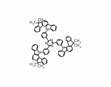 CC1(C)c2ccccc2-c2c1ccc1c3ccccc3n(-c3cccc(-c4nc(-c5cccc(-n6c7ccccc7c7ccc8c(c76)-c6ccccc6C8(C)C)c5)nc(-c5cccc(-n6c7ccccc7c7ccc8c(c76)-c6ccccc6C8(C)C)c5)n4)c3)c21